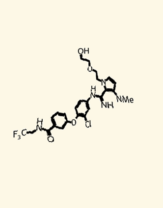 CNc1ccn(CCOCCO)c1C(=N)Nc1ccc(Oc2cccc(C(=O)NCC(F)(F)F)c2)c(Cl)c1